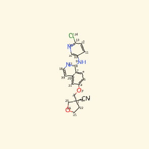 N#C[C@@]1(COc2ccc3c(Nc4ccc(Cl)nc4)nccc3c2)CCOC1